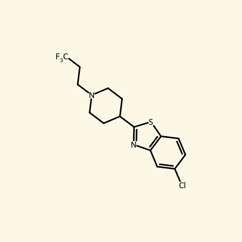 FC(F)(F)CCN1CCC(c2nc3cc(Cl)ccc3s2)CC1